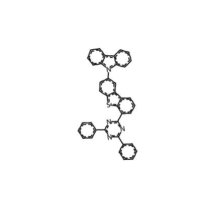 c1ccc(-c2nc(-c3ccccc3)nc(-c3cccc4c3sc3ccc(-n5c6ccccc6c6ccccc65)cc34)n2)cc1